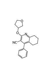 N#Cc1c(OC2CCOC2)nc2c(c1-c1ccccc1)CCCC2